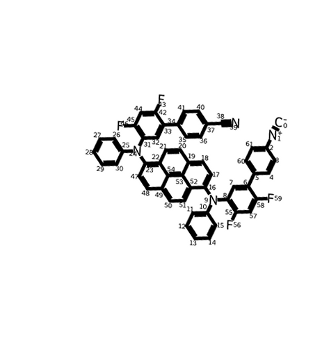 [C-]#[N+]c1ccc(-c2cc(N(c3ccccc3)c3ccc4ccc5c(N(c6ccccc6)c6cc(-c7ccc(C#N)cc7)c(F)cc6F)ccc6ccc3c4c65)c(F)cc2F)cc1